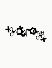 CC(C)(C)OC(=O)NC12CCC(Cn3ncc4c3C(C)(C)CN(C(=O)OC(C)(C)C)C4)(CC1)CC2